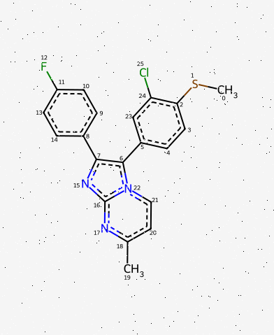 CSc1ccc(-c2c(-c3ccc(F)cc3)nc3nc(C)ccn23)cc1Cl